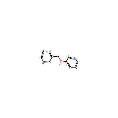 [c]1ncccc1OCc1ccccc1